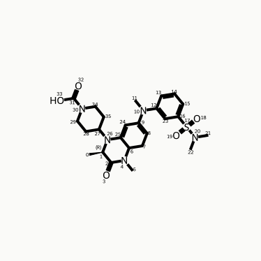 C[C@@H]1C(=O)N(C)C2CC=C(N(C)c3cccc(S(=O)(=O)N(C)C)c3)C=C2N1C1CCN(C(=O)O)CC1